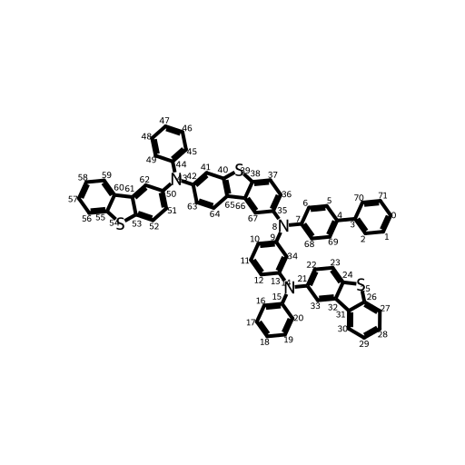 c1ccc(-c2ccc(N(c3cccc(N(c4ccccc4)c4ccc5sc6ccccc6c5c4)c3)c3ccc4sc5cc(N(c6ccccc6)c6ccc7sc8ccccc8c7c6)ccc5c4c3)cc2)cc1